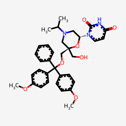 COc1ccc(C(OC[C@@]2(CO)CN(C(C)C)C[C@H](n3ccc(=O)[nH]c3=O)O2)(c2ccccc2)c2ccc(OC)cc2)cc1